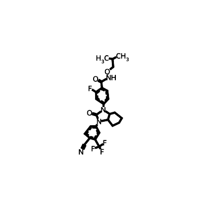 CC(C)CONC(=O)c1ccc(N2C(=O)N(c3ccc(C#N)c(C(F)(F)F)c3)C3CCCCC32)cc1F